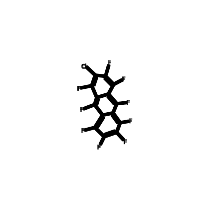 Fc1c(F)c(F)c2c(F)c3c(F)c(Cl)c(F)c(F)c3c(F)c2c1F